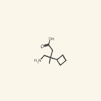 CC(CN)(CC(=O)O)C1CCC1